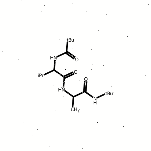 CC(NC(=O)C(NC(=O)C(C)(C)C)C(C)C)C(=O)NC(C)(C)C